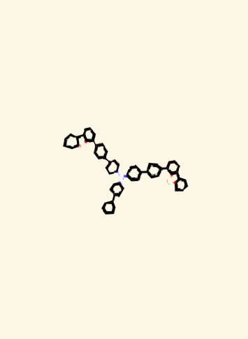 C1=CC(N(c2ccc(-c3ccccc3)cc2)c2ccc(-c3ccc(-c4cccc5c4oc4ccccc45)cc3)cc2)CC=C1c1ccc(-c2cccc3c2oc2ccccc23)cc1